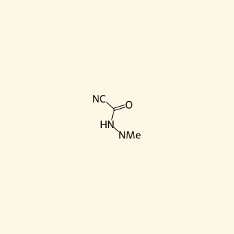 CNNC(=O)C#N